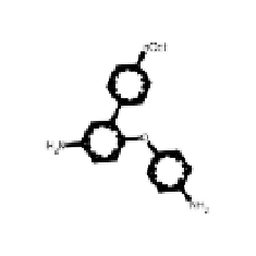 CCCCCCCCc1ccc(-c2cc(N)ccc2Oc2ccc(N)cc2)cc1